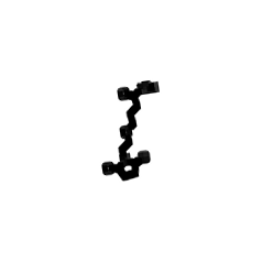 CC(C)(C)C(=O)CCCOCCN1C(=O)C=CC1=O